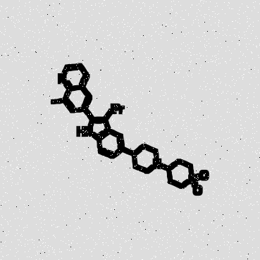 Cc1cc(-c2[nH]c3ccc(C4CCN(C5CCS(=O)(=O)CC5)CC4)cc3c2C(C)C)cc2cccnc12